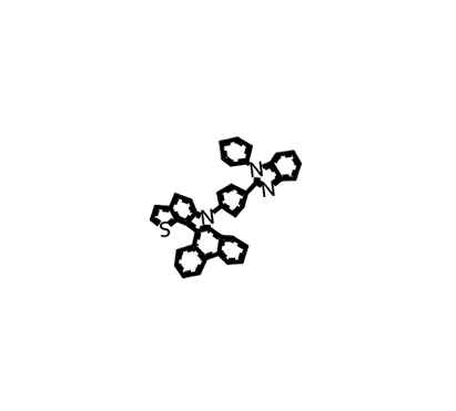 c1ccc(-n2c(-c3ccc(-n4c5ccc6ccsc6c5c5c6ccccc6c6ccccc6c54)cc3)nc3ccccc32)cc1